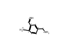 N=Cc1cc(CN)ccc1N